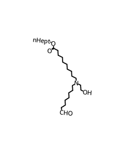 CCCCCCCOC(=O)CCCCCCCCCN(CCO)CCCCCCCC=O